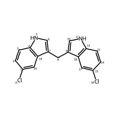 Clc1ccc2[nH]cc([CH]c3c[nH]c4ccc(Cl)cc34)c2c1